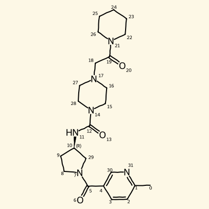 Cc1ccc(C(=O)N2CC[C@@H](NC(=O)N3CCN(CC(=O)N4CCCCC4)CC3)C2)cn1